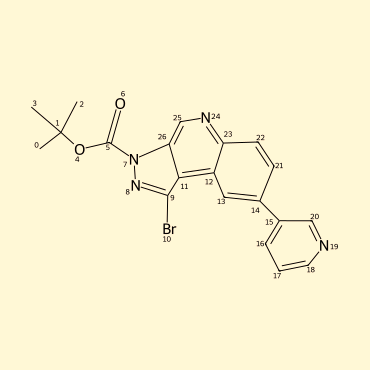 CC(C)(C)OC(=O)n1nc(Br)c2c3cc(-c4cccnc4)ccc3ncc21